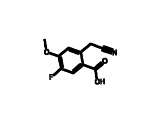 COc1cc(CC#N)c(C(=O)O)cc1F